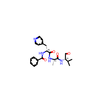 CC(C)[C@@H](C=O)NC(=O)[C@H](C)NC(=O)[C@@H](Cc1ccncc1)NC(=O)c1ccccc1